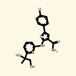 CC(O)(CO)c1cccc(Nc2sc(-c3ccc(Cl)cc3)cc2C(N)=O)n1